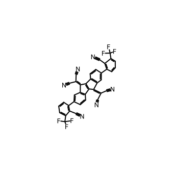 N#CC(C#N)=C1C2=C(C(=C(C#N)C#N)c3cc(-c4cccc(C(F)(F)F)c4C#N)ccc32)c2ccc(-c3cccc(C(F)(F)F)c3C#N)cc21